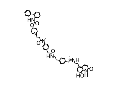 C[C@@H](Cc1ccc(CCNC(=O)Cc2ccc(N(C)C(=O)CCN3CCC(OC(=O)Nc4ccccc4-c4ccccc4)CC3)cc2)cc1)NCCc1ccc(O)c2[nH]c(=O)ccc12